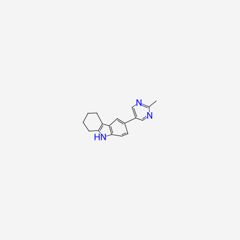 Cc1ncc(-c2ccc3[nH]c4c(c3c2)CCCC4)cn1